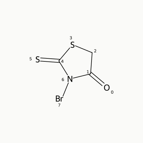 O=C1CSC(=S)N1Br